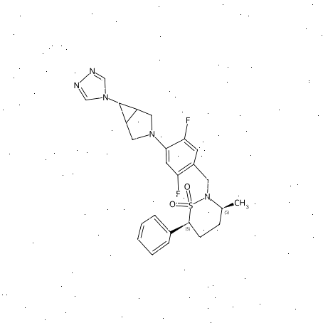 C[C@H]1CC[C@@H](c2ccccc2)S(=O)(=O)N1Cc1cc(F)c(N2CC3C(C2)C3n2cnnc2)cc1F